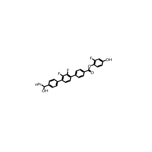 CCCC(O)c1ccc(-c2ccc(-c3ccc(C(=O)Oc4ccc(O)cc4F)cc3)c(F)c2F)cc1